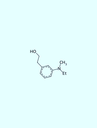 CCN(C)c1cccc(CCO)c1